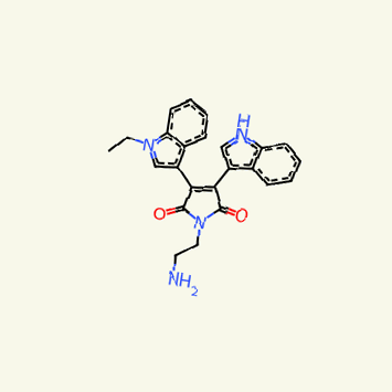 CCn1cc(C2=C(c3c[nH]c4ccccc34)C(=O)N(CCN)C2=O)c2ccccc21